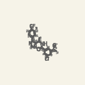 CC(NC(=O)c1cc(Cl)cc([S+](C)[O-])c1)c1ncnn1-c1ccc(C(F)(F)F)cn1